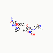 Cc1ncsc1-c1ccc(CNC(=O)[C@@H]2C[C@@H](O)CN2C(=O)CC(C)(C)CC(CCc2ccc3cc(CO[C@H](C)[C@H](CCC(N)=O)NC(=O)[C@@H]4Cc5cccc6c5N4C(=O)CCC6)ccc3c2)C(N)=O)cc1